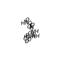 C=CC(=O)Nc1cccc(S(=O)(=O)N2CCC(NC(=O)c3n[nH]cc3NC(=O)c3c(F)cccc3OC)CC2)c1